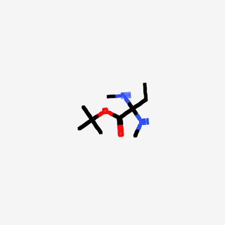 CCC(NC)(NC)C(=O)OC(C)(C)C